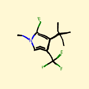 Cn1cc(C(F)(F)F)c(C(C)(C)C)c1F